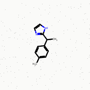 Cc1ccc(C(C)c2ncc[nH]2)cc1